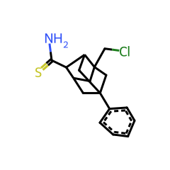 NC(=S)C1C2CC3(c4ccccc4)CC1C(CCl)(C2)C3